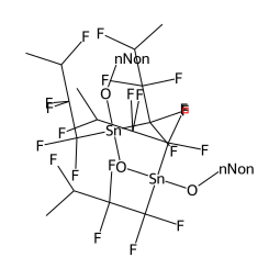 CCCCCCCCC[O][Sn]([O][Sn]([O]CCCCCCCCC)([C](F)(F)C(F)(F)C(C)F)[C](F)(F)C(F)(F)C(C)F)([C](F)(F)C(F)(F)C(C)F)[C](F)(F)C(F)(F)C(C)F